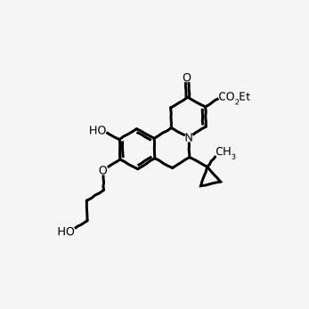 CCOC(=O)C1=CN2C(CC1=O)c1cc(O)c(OCCCO)cc1CC2C1(C)CC1